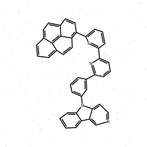 c1cc(-c2cccc(-c3cccc(-c4ccc5ccc6cccc7ccc4c5c67)n3)n2)cc(-n2c3ccccc3c3cnccc32)c1